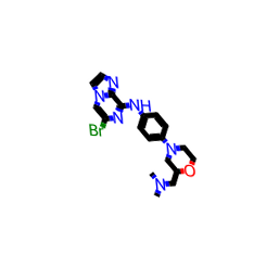 CN(C)CC1CN(c2ccc(Nc3nc(Br)cn4ccnc34)cc2)CCO1